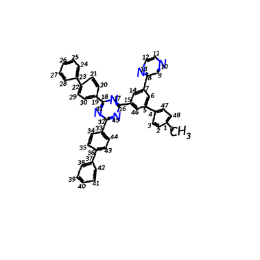 Cc1ccc(-c2cc(-c3cnccn3)cc(-c3nc(-c4ccc(-c5ccccc5)cc4)nc(-c4ccc(-c5ccccc5)cc4)n3)c2)cc1